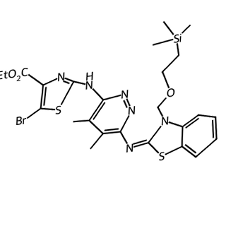 CCOC(=O)c1nc(Nc2nnc(N=c3sc4ccccc4n3COCC[Si](C)(C)C)c(C)c2C)sc1Br